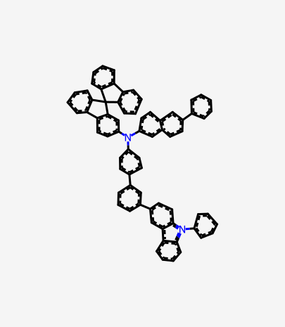 c1ccc(-c2ccc3cc(N(c4ccc(-c5cccc(-c6ccc7c(c6)c6ccccc6n7-c6ccccc6)c5)cc4)c4ccc5c(c4)C4(c6ccccc6-c6ccccc64)c4ccccc4-5)ccc3c2)cc1